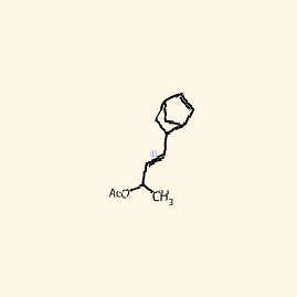 CC(=O)OC(C)/C=C/C1CC2C=CC1C2